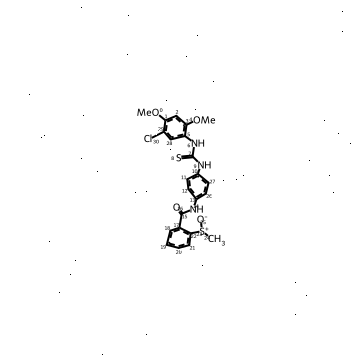 COc1cc(OC)c(NC(=S)Nc2ccc(NC(=O)c3ccccc3[S+](C)[O-])cc2)cc1Cl